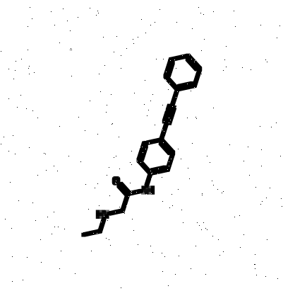 CCNCC(=O)Nc1ccc(C#Cc2ccccc2)cc1